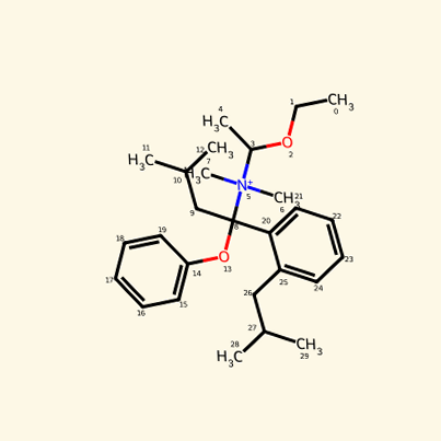 CCOC(C)[N+](C)(C)C(CC(C)C)(Oc1ccccc1)c1ccccc1CC(C)C